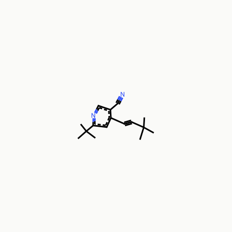 CC(C)(C)C#Cc1cc(C(C)(C)C)ncc1C#N